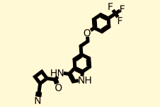 N#CC1CCC1C(=O)Nc1c[nH]c2ccc(CCOc3ccc(C(F)(F)F)cc3)cc12